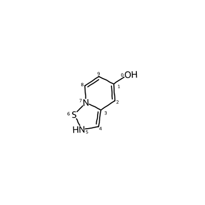 OC1=CC2=CNSN2C=C1